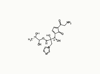 C[C@H](O)C(O)OPC(O)(Cn1ccnc1)[P@](O)C1=CC=C(C(=O)CN)C1=O